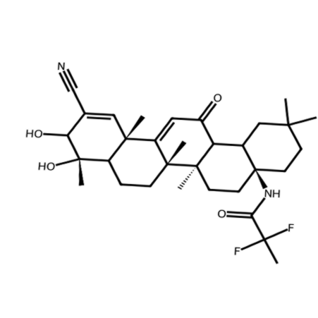 CC1(C)CC[C@]2(NC(=O)C(C)(F)F)CC[C@]3(C)C(C(=O)C=C4[C@@]5(C)C=C(C#N)C(O)[C@@](C)(O)C5CC[C@]43C)C2C1